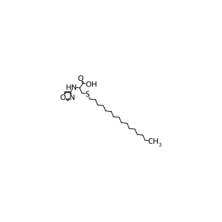 CCCCCCCCCCCCCCCCSCC(Nc1cocn1)C(=O)O